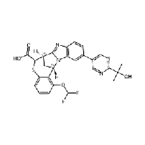 CC(C)(O)c1ncc(-c2ccc3nc4n(c3c2)[C@H]2C[C@H]4C(C(=O)O)Sc3cccc(OC(F)F)c32)cn1